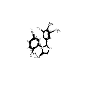 COc1c(C)cc(C2SCC(=O)N2c2cc(F)ccc2C)cc1F